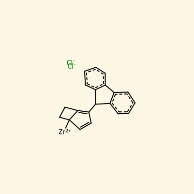 [Cl-].[Cl-].[Zr+2][C]12C=CC(C3c4ccccc4-c4ccccc43)=C1CC2